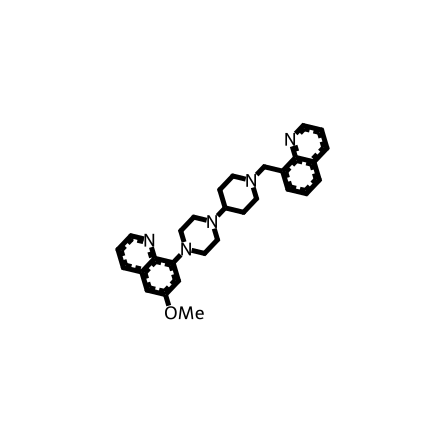 COc1cc(N2CCN(C3CCN(Cc4cccc5cccnc45)CC3)CC2)c2ncccc2c1